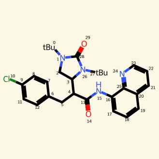 CC(C)(C)N1CC(C(Cc2ccc(Cl)cc2)C(=O)Nc2cccc3cccnc23)N(C(C)(C)C)C1=O